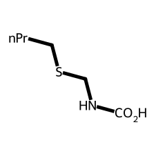 CCCCSCNC(=O)O